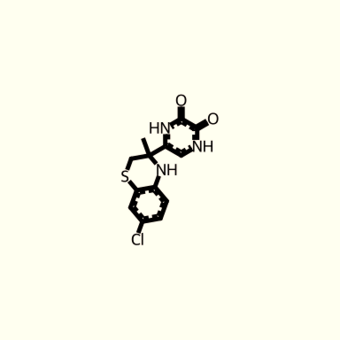 CC1(c2c[nH]c(=O)c(=O)[nH]2)CSc2cc(Cl)ccc2N1